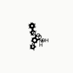 O=C(NO)C1CC(N2CCCC2)CCC1C(=O)N1CCC(c2ccccc2)C1